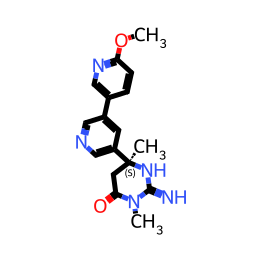 COc1ccc(-c2cncc([C@]3(C)CC(=O)N(C)C(=N)N3)c2)cn1